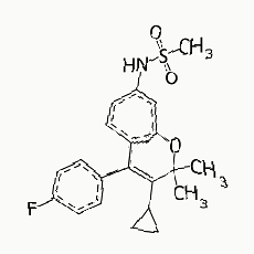 CC1(C)Oc2cc(NS(C)(=O)=O)ccc2C(c2ccc(F)cc2)=C1C1CC1